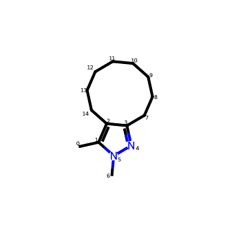 Cc1c2c(nn1C)CCCCCCCC2